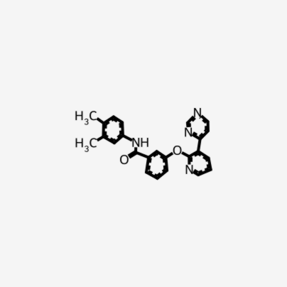 Cc1ccc(NC(=O)c2cccc(Oc3ncccc3-c3ccncn3)c2)cc1C